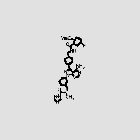 COc1ccc(F)cc1C(=O)NCc1ccc(-c2nn(-c3cccc(CN(C)C(=O)n4cncn4)c3)c3ncnc(N)c23)cc1